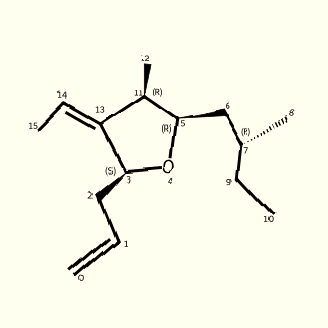 C=CC[C@@H]1O[C@H](C[C@H](C)CC)[C@H](C)C1=CC